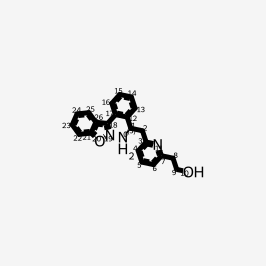 N[C@@H](Cc1cccc(CCO)n1)c1ccccc1-c1noc2ccccc12